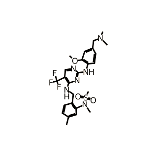 COc1cc(CN(C)C)ccc1Nc1ncc(C(F)(F)F)c(NCc2ccc(C)cc2N(C)S(C)(=O)=O)n1